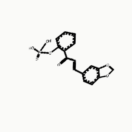 O=C(C=Cc1ccc2c(c1)OCO2)c1ccccc1OP(=O)(O)O